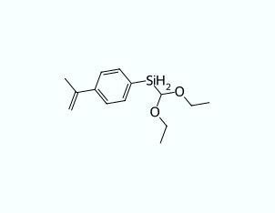 C=C(C)c1ccc([SiH2]C(OCC)OCC)cc1